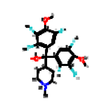 COc1c(F)cc(C(O)(c2cc(F)c(OC)c(F)c2F)C2CCN(C)CC2)c(F)c1F